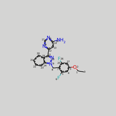 CCOc1cc(F)c(Cn2nc(-c3cc(N)ncn3)c3ccccc32)c(F)c1